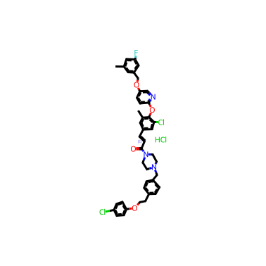 Cc1cc(F)cc(COc2ccc(Oc3c(C)cc(/C=C/C(=O)N4CCN(Cc5ccc(CCOc6ccc(Cl)cc6)cc5)CC4)cc3Cl)nc2)c1.Cl